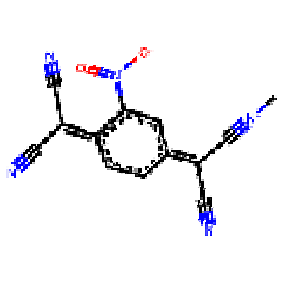 C[N+]#CC(C#N)=c1ccc(=C(C#N)C#N)c([N+](=O)[O-])c1